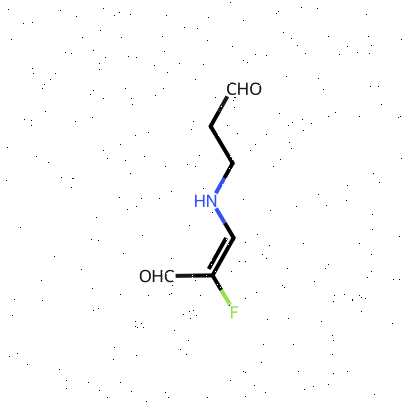 O=CCCN/C=C(/F)C=O